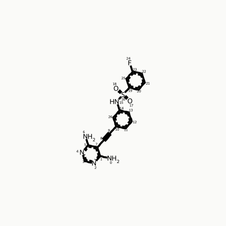 Nc1ncnc(N)c1C#Cc1cccc(NS(=O)(=O)c2cccc(F)c2)c1